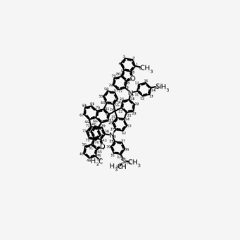 Cc1cccc2c1oc1c(N(c3ccc([SiH3])cc3)c3ccc4c(c3)C3(c5cc(N(c6ccc([SiH](C)C)cc6)c6cccc7c6oc6c(C)cccc67)ccc5-4)c4ccccc4-c4c3cc3c5c(cccc45)-c4ccccc4-3)cccc12